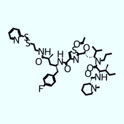 CCCN(C(=O)[C@@H](NC(=O)[C@H]1CCCCN1C)[C@@H](C)CC)[C@H](C[C@@H](OC(C)=O)c1nc(C(=O)N[C@@H](Cc2ccc(F)cc2)C[C@H](C)C(=O)NCCSSc2ccccn2)cs1)C(C)C